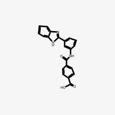 O=C(O)c1ccc(C(=O)Nc2cccc(-c3nc4ccccc4[nH]3)c2)cc1